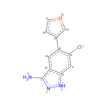 Nc1n[nH]c2cc(Cl)c(-c3ccoc3)cc12